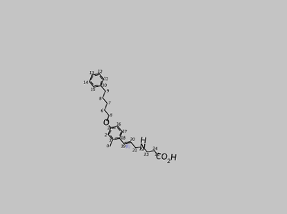 Cc1cc(OCCCCCc2ccccc2)ccc1/C=C/CNCCC(=O)O